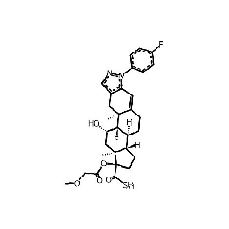 COCC(=O)O[C@]1(C(=O)S)CC[C@H]2[C@@H]3CCC4=Cc5c(cnn5-c5ccc(F)cc5)C[C@]4(C)[C@@]3(F)[C@@H](O)C[C@@]21C